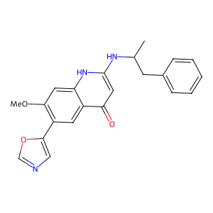 COc1cc2[nH]c(NC(C)Cc3ccccc3)cc(=O)c2cc1-c1cnco1